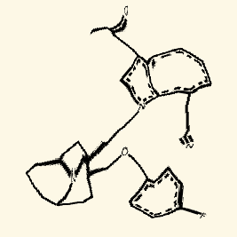 CC(=O)c1cn(CCCN2C3CCC2CC(Oc2ccc(F)cc2)C3)c2c(C#N)cccc12